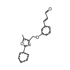 Cc1oc(-c2ccccc2)nc1COc1cccc(C=CC=O)c1